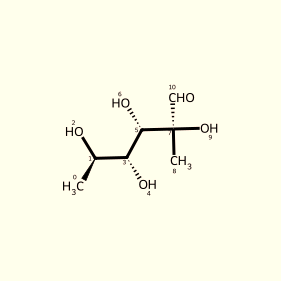 C[C@@H](O)[C@@H](O)[C@H](O)[C@](C)(O)C=O